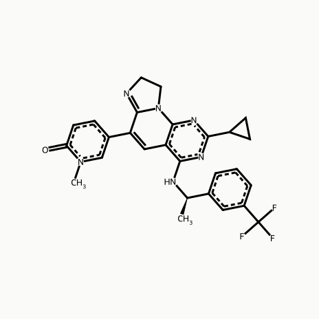 C[C@@H](Nc1nc(C2CC2)nc2c1C=C(c1ccc(=O)n(C)c1)C1=NCCN12)c1cccc(C(F)(F)F)c1